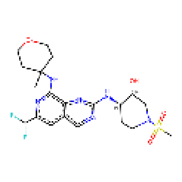 CC1(Nc2nc(C(F)F)cc3cnc(N[C@@H]4CCN(S(C)(=O)=O)C[C@H]4O)nc23)CCOCC1